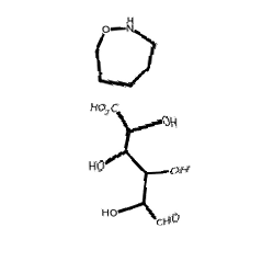 C1CCNOCC1.O=CC(O)C(O)C(O)C(O)C(=O)O